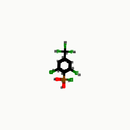 O=S(=O)(Cl)c1c(Cl)cc(C(F)(F)F)cc1Cl